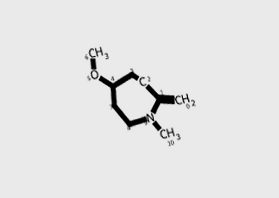 C=C1CCC(OC)CCN1C